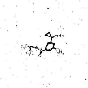 Cc1cc(C(=O)N[C@@H](C)C(F)(F)F)cc(C2(C)CC2)c1